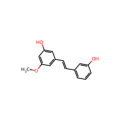 COc1cc(O)cc(C=Cc2cccc(O)c2)c1